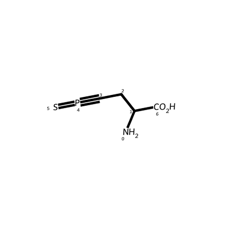 NC(CC#P=S)C(=O)O